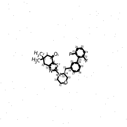 CC1(C)CC(=O)c2sc(N3CCOC[C@@H]3Cc3cccc(-c4c(F)cccc4F)c3)nc2C1